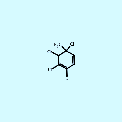 FC(F)(F)C1(Cl)C=CC(Cl)=C(Cl)C1Cl